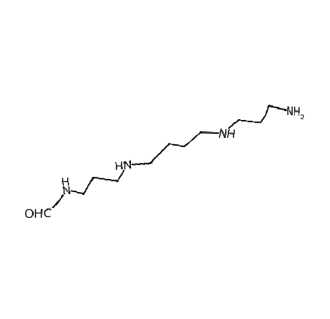 NCCCNCCCCNCCCNC=O